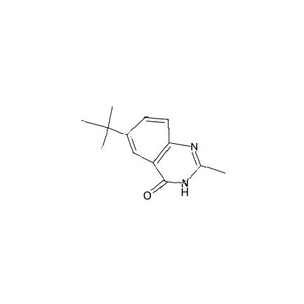 Cc1nc2ccc(C(C)(C)C)cc2c(=O)[nH]1